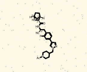 CC(=O)N1CCC(Cn2cc(-c3ccc(C[C@@H](C#N)NC(=O)[C@H]4N[C@@H]5CC[C@H]4C5)c(F)c3)cn2)CC1